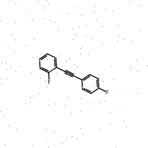 Fc1ccc(C#Cc2ccccc2F)cc1